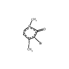 Cc1ccn(C)c(=O)c1Br